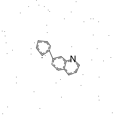 [c]1ccccc1-c1ccc2cccnc2c1